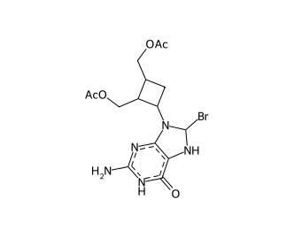 CC(=O)OCC1CC(N2c3nc(N)[nH]c(=O)c3NC2Br)C1COC(C)=O